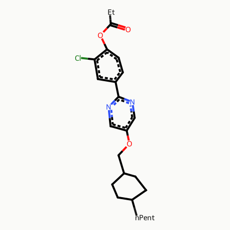 CCCCCC1CCC(COc2cnc(-c3ccc(OC(=O)CC)c(Cl)c3)nc2)CC1